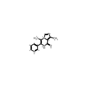 Cc1ncn2c(C)c(-c3cccnc3)[nH]c(=O)c12